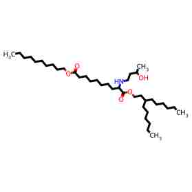 CCCCCCCCCCOC(=O)CCCCCCCC(NCCC(C)O)C(=O)OCCC(CCCCCC)CCCCCC